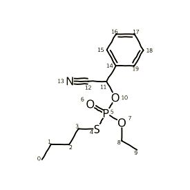 CCCCSP(=O)(OCC)OC(C#N)c1ccccc1